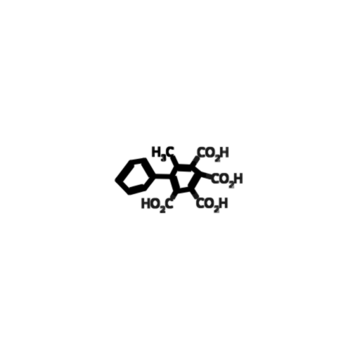 Cc1c(C(=O)O)c(C(=O)O)c(C(=O)O)c(C(=O)O)c1-c1ccccc1